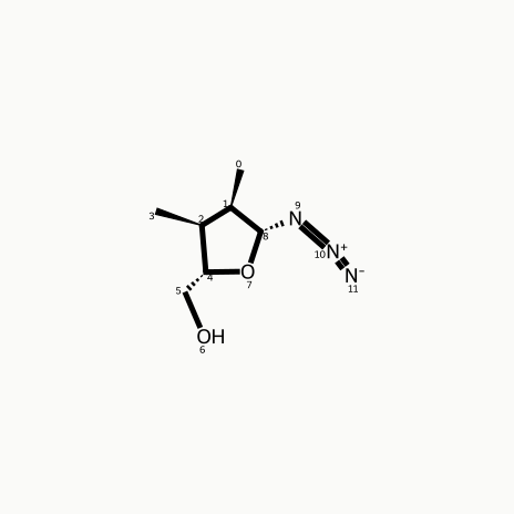 C[C@@H]1[C@H](C)[C@@H](CO)O[C@H]1N=[N+]=[N-]